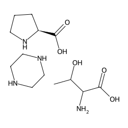 C1CNCCN1.CC(O)C(N)C(=O)O.O=C(O)[C@@H]1CCCN1